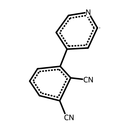 N#Cc1cccc(-c2c[c]ncc2)c1C#N